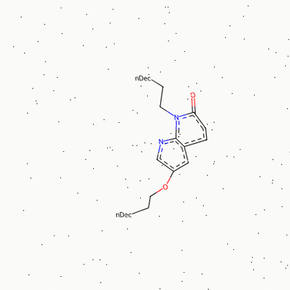 CCCCCCCCCCCCOc1cnc2c(ccc(=O)n2CCCCCCCCCCCC)c1